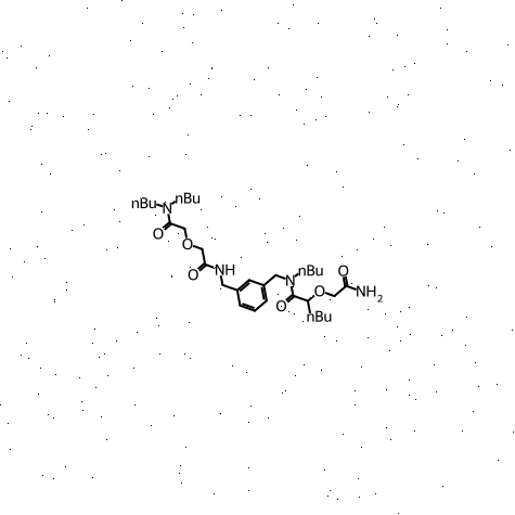 CCCCC(OCC(N)=O)C(=O)N(CCCC)Cc1cccc(CNC(=O)COCC(=O)N(CCCC)CCCC)c1